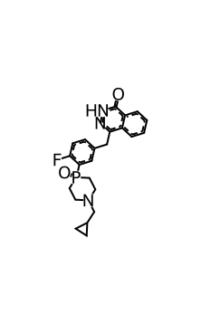 O=c1[nH]nc(Cc2ccc(F)c(P3(=O)CCN(CC4CC4)CC3)c2)c2ccccc12